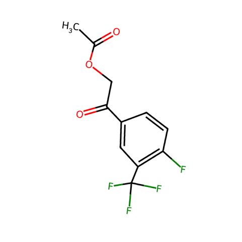 CC(=O)OCC(=O)c1ccc(F)c(C(F)(F)F)c1